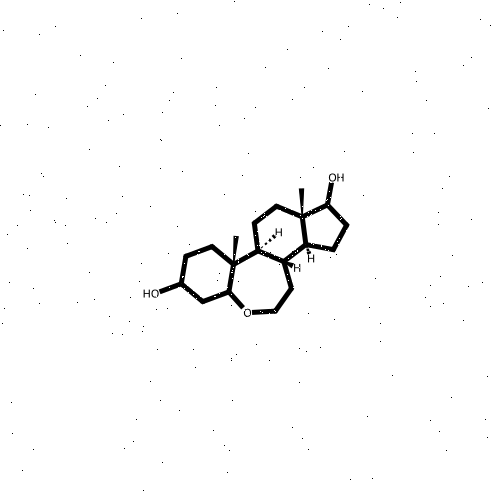 C[C@]12CCC(O)CC1OCC[C@@H]1[C@@H]2CC[C@]2(C)C(O)CC[C@@H]12